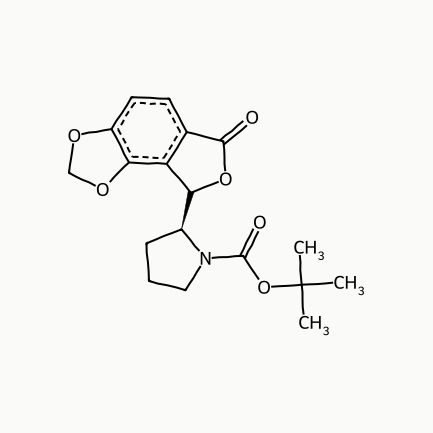 CC(C)(C)OC(=O)N1CCC[C@H]1C1OC(=O)c2ccc3c(c21)OCO3